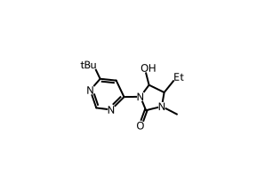 CCC1C(O)N(c2cc(C(C)(C)C)ncn2)C(=O)N1C